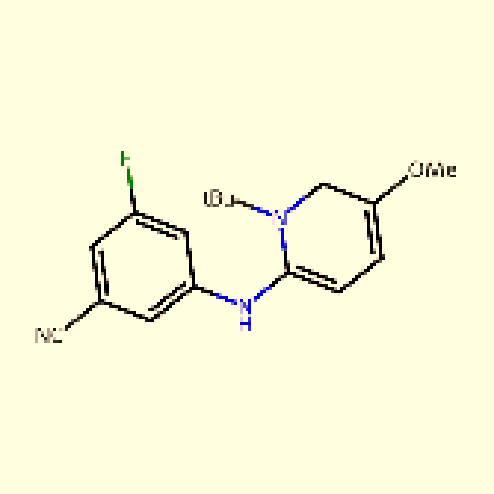 COC1=CC=C(Nc2cc(F)cc(C#N)c2)N(C(C)(C)C)C1